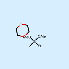 C1COCCO1.CC[Si](C)(OC)OC